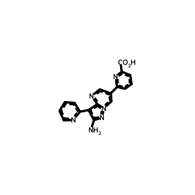 Nc1nn2cc(-c3cccc(C(=O)O)n3)cnc2c1-c1ccccn1